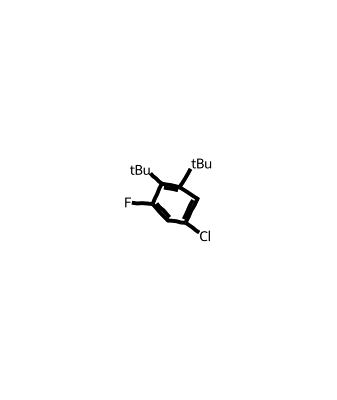 CC(C)(C)c1cc(Cl)cc(F)c1C(C)(C)C